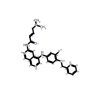 CN(C)C/C=C/C(=O)Nc1cc2c(Nc3ccc(OCc4ccccn4)c(F)c3)cncc2cn1